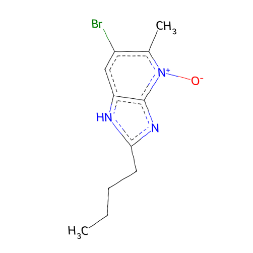 CCCCc1nc2c(cc(Br)c(C)[n+]2[O-])[nH]1